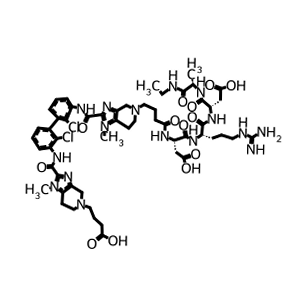 CCNC(=O)[C@H](C)NC(=O)[C@H](CC(=O)O)NC(=O)[C@H](CCCNC(=N)N)NC(=O)[C@H](CC(=O)O)NC(=O)CCCN1CCc2c(nc(C(=O)Nc3cccc(-c4cccc(NC(=O)c5nc6c(n5C)CCN(CCCC(=O)O)C6)c4Cl)c3Cl)n2C)C1